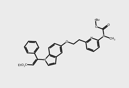 CCOC(=O)C=C(c1ccccc1)n1ccc2cc(OCCc3cccc(N(C)C(=O)OC(C)(C)C)n3)ccc21